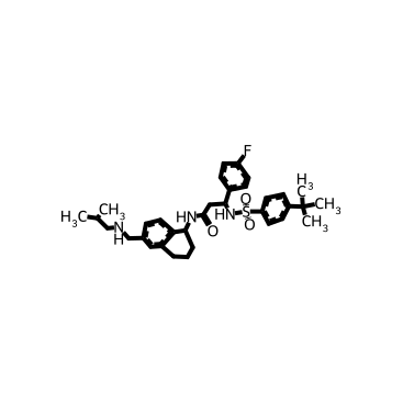 CC(C)CNCc1ccc2c(c1)CCCC2NC(=O)CC(NS(=O)(=O)c1ccc(C(C)(C)C)cc1)c1ccc(F)cc1